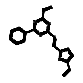 C=Cc1ccc(C=Nc2nc(N=C)nc(-c3ccccc3)n2)o1